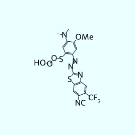 [C-]#[N+]c1cc2sc(/N=N/c3cc(OC)c(N(C)C)cc3SOOO)nc2cc1C(F)(F)F